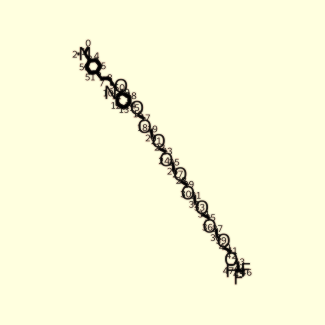 CN(C)c1ccc(/C=C/c2nc3ccc(OCCOCCOCCOCCOCCOCCOCCOCCOCCOCC(F)(F)F)cc3o2)cc1